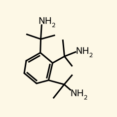 CC(C)(N)c1cccc(C(C)(C)N)c1C(C)(C)N